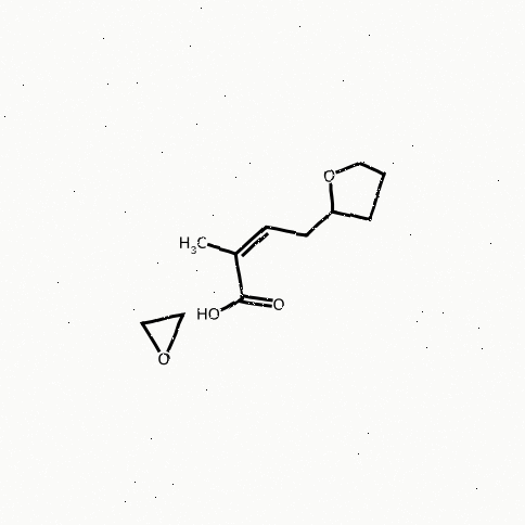 C1CO1.CC(=CCC1CCCO1)C(=O)O